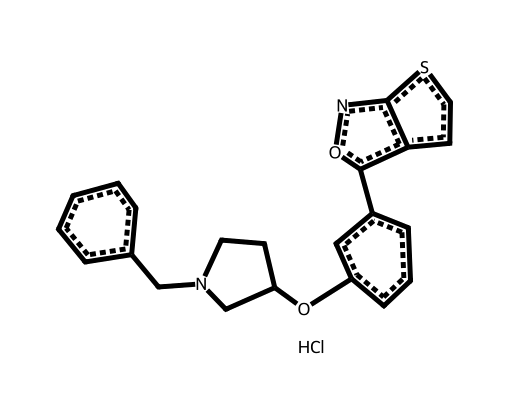 Cl.c1ccc(CN2CCC(Oc3cccc(-c4onc5sccc45)c3)C2)cc1